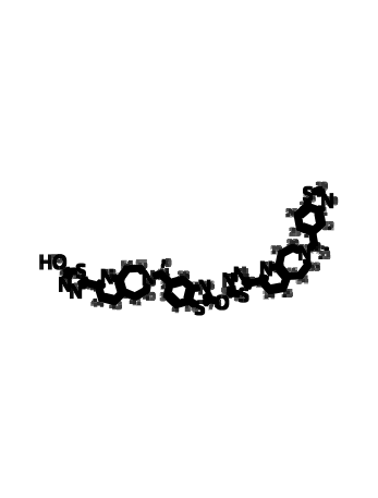 C[C@H](c1ccc2sc(Oc3nnc(-c4ccc5c(n4)CCN([C@@H](C)c4ccc6scnc6c4)CC5)s3)nc2c1)N1CCc2ccc(-c3nnc(O)s3)nc2CC1